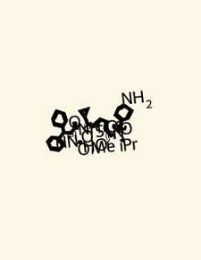 COC(=O)N[C@H](C(=O)N[C@H](c1ccc([C@@H](CO)N(CC(C)C)S(=O)(=O)c2ccc(N)cc2)s1)C1CC1)C(c1ccccc1)c1ccccc1